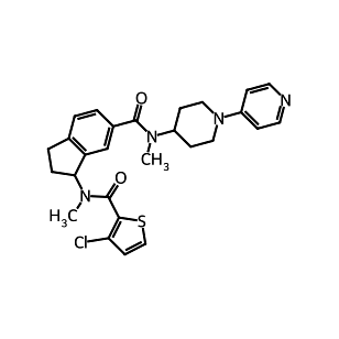 CN(C(=O)c1ccc2c(c1)C(N(C)C(=O)c1sccc1Cl)CC2)C1CCN(c2ccncc2)CC1